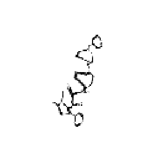 Cc1cc(-c2ccccc2)c(C(=O)C(=O)Nc2ccc(N3CCN(Cc4ccccc4)CC3)cc2)n1C